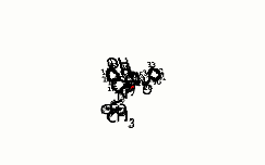 CS(=O)(=O)CCN1CCC23c4cc(O)ccc4CC1C21CCC2C3[C@@H](CN2C(=O)c2ccccc2)C1